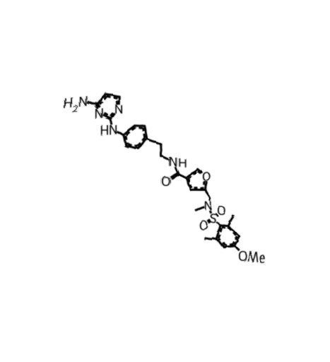 COc1cc(C)c(S(=O)(=O)N(C)Cc2cc(C(=O)NCCc3ccc(Nc4nccc(N)n4)cc3)co2)c(C)c1